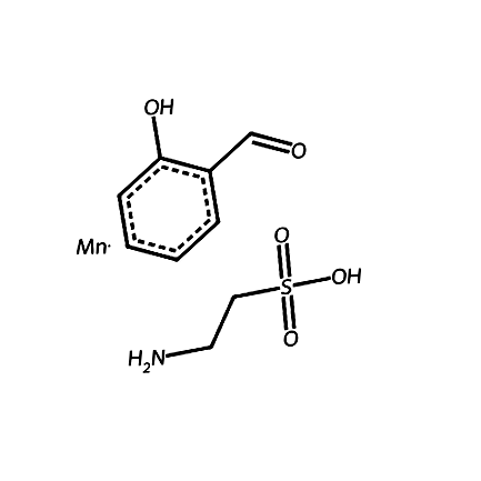 NCCS(=O)(=O)O.O=Cc1ccccc1O.[Mn]